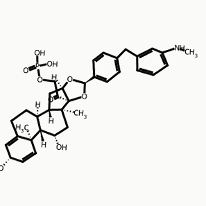 CNc1cccc(Cc2ccc([C@@H]3O[C@@H]4C[C@H]5[C@@H]6CCC7=C[C@@H](O)C=C[C@]7(C)[C@H]6[C@@H](O)C[C@]5(C)[C@]4(C(=O)COP(=O)(O)O)O3)cc2)c1